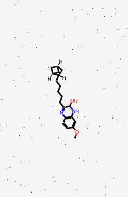 COc1ccc2c(c1)NC(O)C(CCCCC[C@H]1C[C@H]3C[C@@H]1C3)=N2